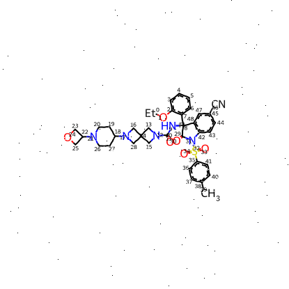 CCOc1ccccc1[C@@]1(NC(=O)N2CC3(C2)CN(C2CCN(C4COC4)CC2)C3)C(=O)N(S(=O)(=O)c2ccc(C)cc2)c2ccc(C#N)cc21